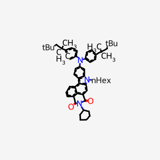 CCCCCCn1c2cc(N(c3ccc(C(C)(C)CC(C)(C)C)cc3)c3ccc(C(C)(C)CC(C)(C)C)cc3)ccc2c2c3cccc4c3c(cc21)C(=O)N(C1CCCCC1)C4=O